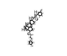 Cc1cccc(NC(=O)Nc2ccc(-c3ccc(OCCCn4cccc4)c4[nH]nc(N)c34)cc2)c1